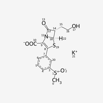 C[S+]([O-])c1cccc(C2=C(C(=O)[O-])N3C(=O)[C@H](CCO)[C@H]3S2)c1.[K+]